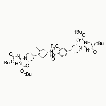 Cc1cc(NC(=O)c2ccc(C3=CCN(C(=NC(=O)OC(C)(C)C)NC(=O)OC(C)(C)C)CC3)cc2C(F)(F)F)ccc1C1=CCN(C(=NC(=O)OC(C)(C)C)NC(=O)OC(C)(C)C)CC1